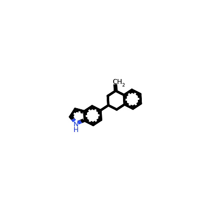 C=C1CC(c2ccc3[nH]ccc3c2)Cc2ccccc21